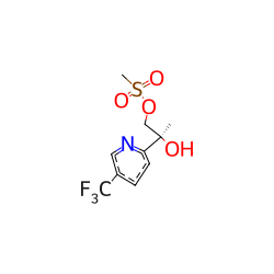 C[C@@](O)(COS(C)(=O)=O)c1ccc(C(F)(F)F)cn1